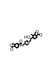 Cc1c(C(O)CN2CCC(NC(=O)c3ccc4c(c3)COC4=O)CC2)ccc2c1COC2=O